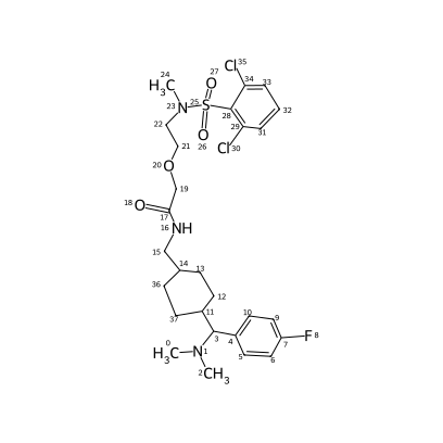 CN(C)C(c1ccc(F)cc1)C1CCC(CNC(=O)COCCN(C)S(=O)(=O)c2c(Cl)cccc2Cl)CC1